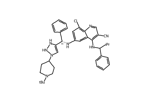 CC(C)C(Nc1c(C#N)cnc2c(Cl)cc(N[C@H](C3=CN(C4CCN(C(C)(C)C)CC4)NN3)c3ccccc3)cc12)c1ccccc1